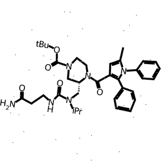 Cc1cc(C(=O)N2CCN(C(=O)OC(C)(C)C)C[C@H]2CN(C(=O)NCCC(N)=O)C(C)C)c(-c2ccccc2)n1-c1ccccc1